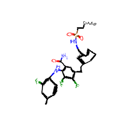 COCCS(=O)(=O)Nc1cccc(Cc2cc(C(N)=O)c(Nc3ccc(C)cc3F)c(F)c2F)c1